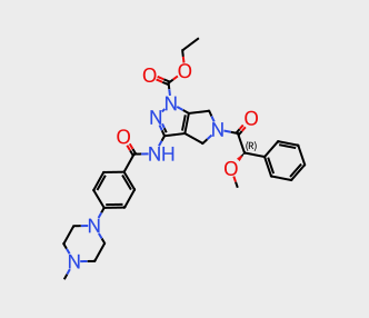 CCOC(=O)n1nc(NC(=O)c2ccc(N3CCN(C)CC3)cc2)c2c1CN(C(=O)[C@H](OC)c1ccccc1)C2